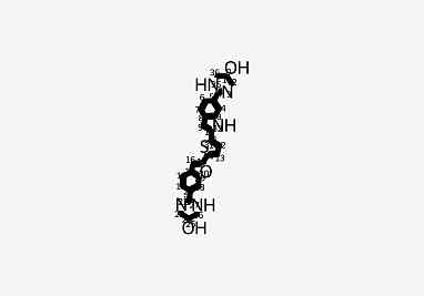 OC1CN=C(c2ccc3cc(-c4ccc(-c5cc6ccc(C7=NCC(O)CN7)cc6o5)s4)[nH]c3c2)NC1